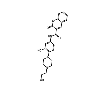 N#Cc1cc(NC(=O)c2cc3ccccc3oc2=O)ccc1N1CCN(CCO)CC1